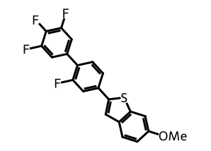 COc1ccc2cc(-c3ccc(-c4cc(F)c(F)c(F)c4)c(F)c3)sc2c1